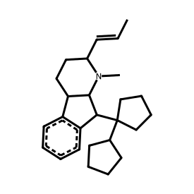 CC=CC1CCC2c3ccccc3C(C3(C4CCCC4)CCCC3)C2N1C